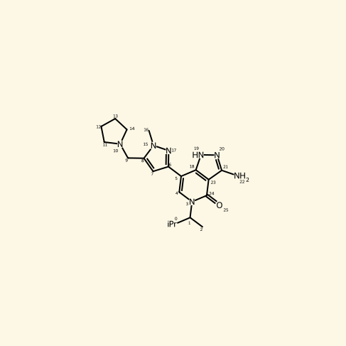 CC(C)C(C)n1cc(-c2cc(CN3CCCC3)n(C)n2)c2[nH]nc(N)c2c1=O